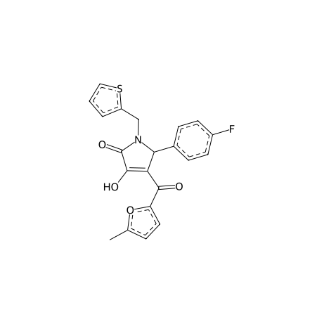 Cc1ccc(C(=O)C2=C(O)C(=O)N(Cc3cccs3)C2c2ccc(F)cc2)o1